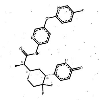 C[C@@H](C(=O)Nc1ccc(Oc2ccc(F)cn2)cn1)[C@H]1CCC(F)(F)[C@@H](c2ccc(=O)[nH]c2)C1